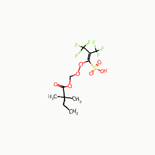 CCC(C)(C)C(=O)OCOOC(=C(C(F)(F)F)C(F)(F)F)S(=O)(=O)O